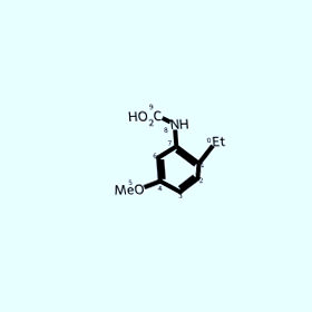 CCc1ccc(OC)cc1NC(=O)O